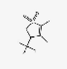 CC1=C(C)S(=O)(=O)OC1C(F)(F)F